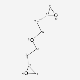 C(C[C@@H]1CO1)OCC[C@@H]1CO1